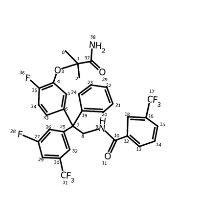 CC(C)(Oc1cc(C(CNC(=O)c2cccc(C(F)(F)F)c2)(c2ccccc2)c2cc(F)cc(C(F)(F)F)c2)ccc1F)C(N)=O